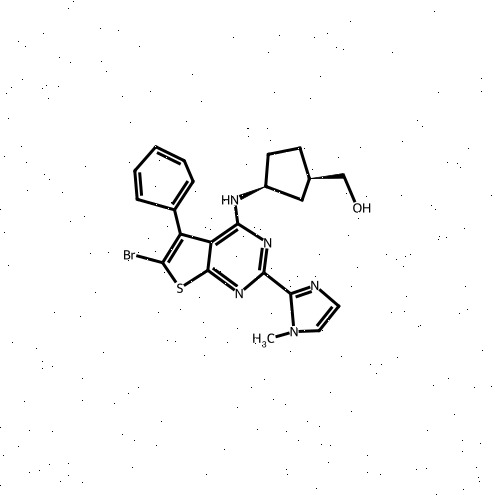 Cn1ccnc1-c1nc(N[C@H]2CC[C@@H](CO)C2)c2c(-c3ccccc3)c(Br)sc2n1